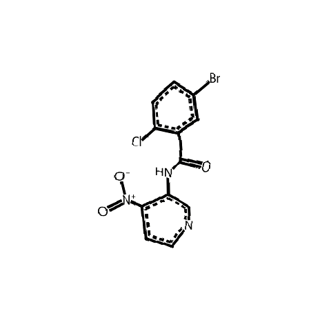 O=C(Nc1cnccc1[N+](=O)[O-])c1cc(Br)ccc1Cl